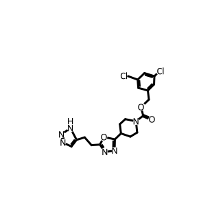 O=C(OCc1cc(Cl)cc(Cl)c1)N1CCC(c2nnc(CCc3cnn[nH]3)o2)CC1